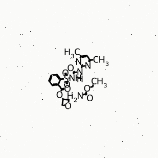 CCOC(N)=O.Cc1cc(C)nc(NC(=O)NS(=O)(=O)c2ccccc2C(=O)OC2COC2)n1